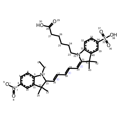 CCN1c2ccc([N+](=O)[O-])cc2C(C)(C)C1/C=C/C=C/C=C1\N(CCCCCC(=O)O)c2ccc(S(=O)(=O)O)cc2C1(C)C